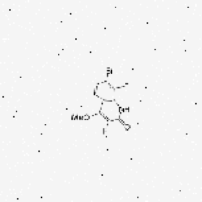 COc1c(F)c(=O)[nH]c2c(F)c(Br)ccc12